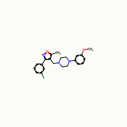 COc1cccc(N2CCN(Cc3c(-c4cccc(F)c4)noc3C)CC2)c1